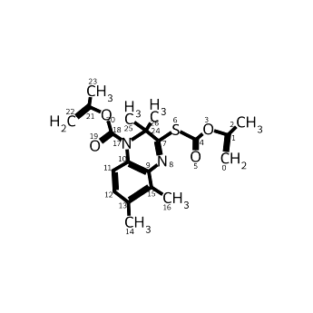 C=C(C)OC(=O)SC1=Nc2c(ccc(C)c2C)N(C(=O)OC(=C)C)C1(C)C